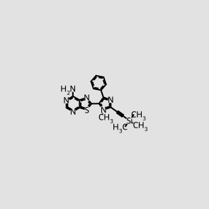 Cn1c(C#C[Si](C)(C)C)nc(-c2ccccc2)c1-c1nc2c(N)ncnc2s1